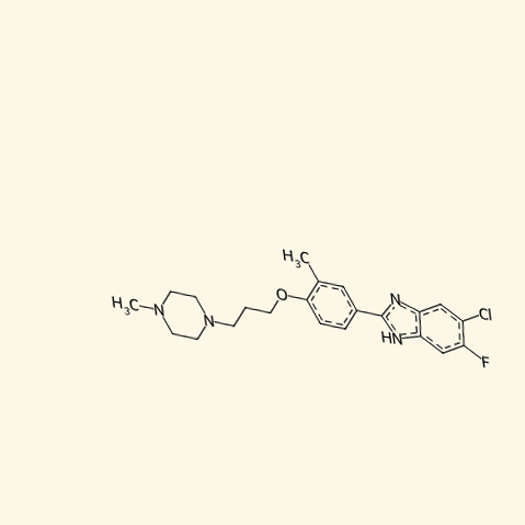 Cc1cc(-c2nc3cc(Cl)c(F)cc3[nH]2)ccc1OCCCN1CCN(C)CC1